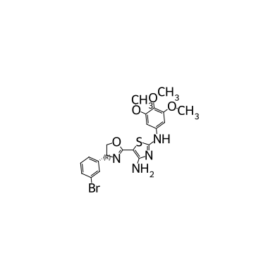 COc1cc(Nc2nc(N)c(C3=N[C@H](c4cccc(Br)c4)CO3)s2)cc(OC)c1OC